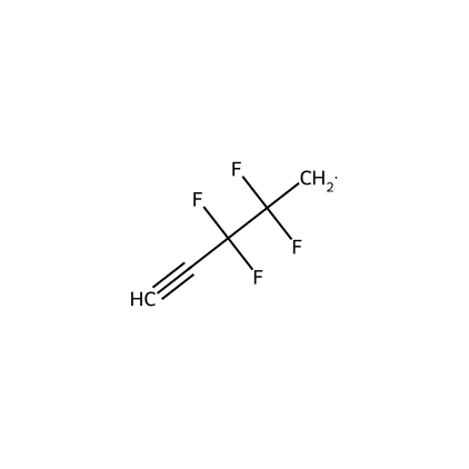 C#CC(F)(F)C([CH2])(F)F